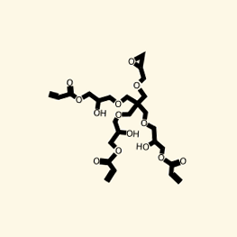 C=CC(=O)OCC(O)COCC(COCC(O)COC(=O)C=C)(COCC(O)COC(=O)C=C)COCC1CO1